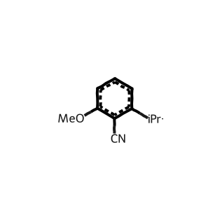 COc1cccc([C](C)C)c1C#N